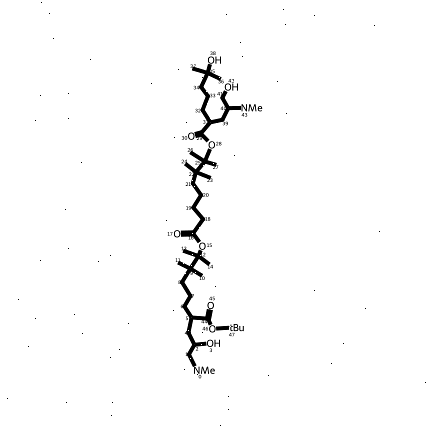 CNCC(O)CC(CCCC(C)(C)C(C)(C)OC(=O)CCCCC(C)(C)C(C)(C)OC(=O)C(CCCC(C)(C)O)CC(CO)NC)C(=O)OC(C)(C)C